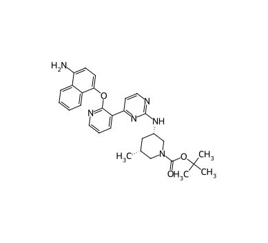 C[C@@H]1C[C@H](Nc2nccc(-c3cccnc3Oc3ccc(N)c4ccccc34)n2)CN(C(=O)OC(C)(C)C)C1